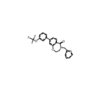 O=C1c2ccc(-c3cccc(OC(F)(F)F)c3)cc2OCCN1Cc1ccccn1